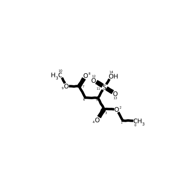 CCOC(=O)C(CC(=O)OC)S(=O)(=O)O